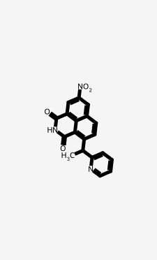 CC(c1ccccn1)c1ccc2cc([N+](=O)[O-])cc3c2c1C(=O)NC3=O